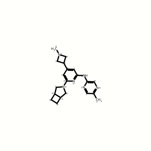 Cc1cnc(Nc2cc(C3CN(C)C3)cc(N3CC4CCC4C3)n2)cn1